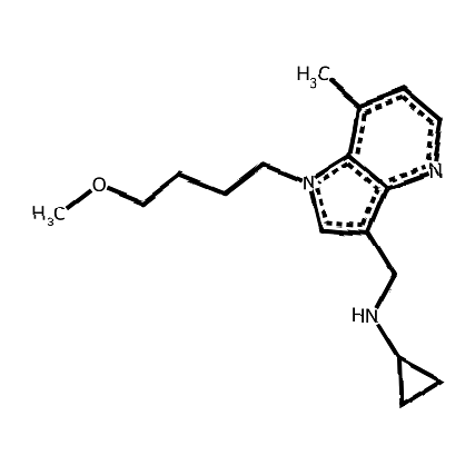 COCCCCn1cc(CNC2CC2)c2nccc(C)c21